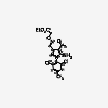 CCOC(=O)CON=Cc1nn(-c2c(Cl)cc(C(F)(F)F)cc2Cl)c(N)c1[S+](C)[O-]